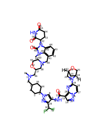 CN(CC1CCC(n2cc(NC(=O)c3cnn4ccc(N5C[C@H]6C[C@@H]5CO6)nc34)c(C(F)F)n2)CC1)C[C@@H]1CN(Cc2cccc3c2n(C)c(=O)n3C2CCC(=O)NC2=O)CCO1